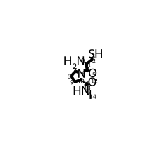 N[C@H](CS)C(=O)N1CCC[C@@H]1C(=O)NI